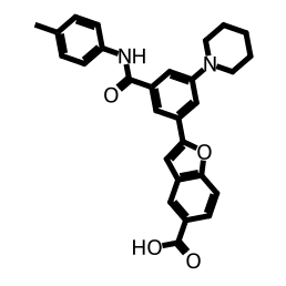 Cc1ccc(NC(=O)c2cc(-c3cc4cc(C(=O)O)ccc4o3)cc(N3CCCCC3)c2)cc1